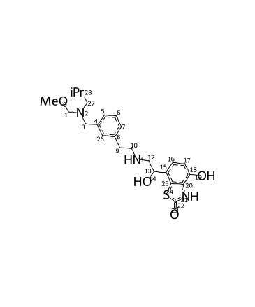 COCN(Cc1cccc(CCNCC(O)c2ccc(O)c3[nH]c(=O)sc23)c1)CC(C)C